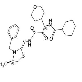 C[C@@H]1CSC(=NNC(=O)C(=O)[C@H](NC(=O)C2CCCCC2)C2CCOCC2)N1Cc1ccccc1